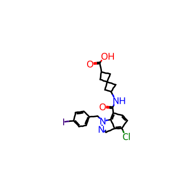 O=C(NC1CC2(C1)CC(C(=O)O)C2)c1ccc(Cl)c2cnn(Cc3ccc(I)cc3)c12